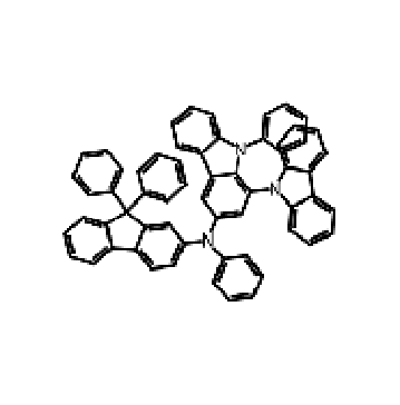 c1ccc(N(c2ccc3c(c2)C(c2ccccc2)(c2ccccc2)c2ccccc2-3)c2cc(-n3c4ccccc4c4ccccc43)c3c(c2)c2ccccc2n3-c2ccccc2)cc1